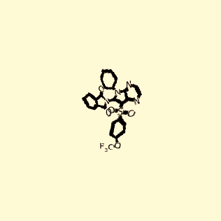 O=C1c2ccccc2C(=O)N1c1c(S(=O)(=O)c2ccc(OC(F)(F)F)cc2)c2nccnc2n1C1CCCCC1